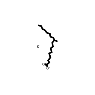 CCCCCCCCC(C)CCCCCCCCC(=O)[O-].[K+]